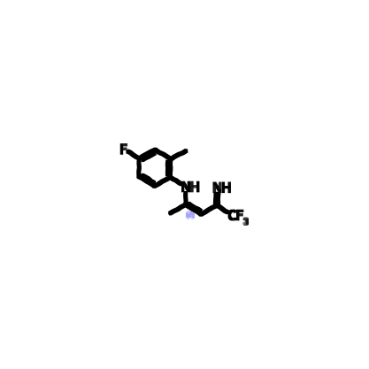 C/C(=C/C(=N)C(F)(F)F)Nc1ccc(F)cc1C